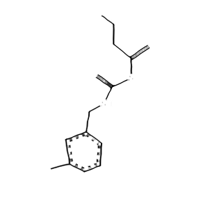 C=C(CCF)NC(=O)NCc1cccc(F)c1